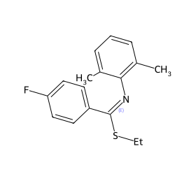 CCS/C(=N/c1c(C)cccc1C)c1ccc(F)cc1